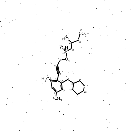 Cc1cc(C)c(C#CCO[PH](=O)C[C@@H](O)CC(=O)O)c(CC2CCCCC2)c1